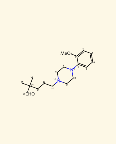 COc1ccccc1N1CCN(CCCC(C)(C)C=O)CC1